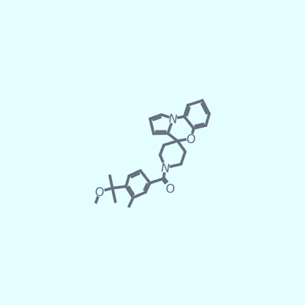 COC(C)(C)c1ccc(C(=O)N2CCC3(CC2)Oc2ccccc2-n2cccc23)cc1C